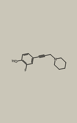 Oc1ccc(C#CCN2CCCCC2)cc1F